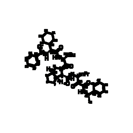 CCCC(NC(=O)[C@@H]1[C@H]2CCC[C@H]2CN1C(=O)[C@@H](NC(=O)[C@H](N[S+]([O-])c1cnccn1)C1CCCCC1)C(C)(C)C)C(=O)C(=O)N[C@@H](C)c1ccccc1